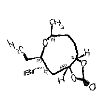 CC[C@H]1O[C@@H](C)CC[C@@H]2OC(=O)O[C@@H]2C[C@@H]1Br